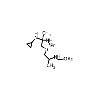 CC(=O)OCNC(C)COC[C@@](C)(NC(C)C)NC1CC1